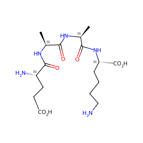 C[C@H](NC(=O)[C@H](C)NC(=O)[C@@H](N)CCC(=O)O)C(=O)N[C@@H](CCCCN)C(=O)O